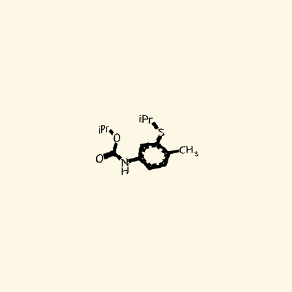 Cc1ccc(NC(=O)OC(C)C)cc1SC(C)C